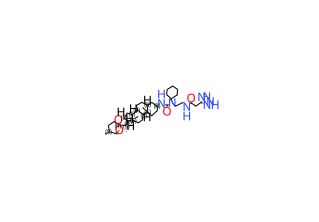 C[C@H]1CC[C@@]2(OC1)O[C@H]1C[C@H]3[C@@H]4CC[C@@H]5C[C@H](NC(=O)N(CCNC(=O)Cc6nnn[nH]6)C6CCCCC6)CC[C@]5(C)[C@H]4CC[C@]3(C)[C@H]1[C@@H]2C